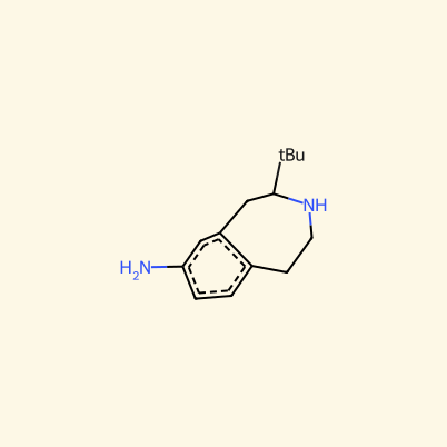 CC(C)(C)C1Cc2cc(N)ccc2CCN1